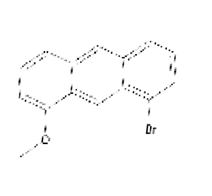 COc1cccc2cc3cccc(Br)c3cc12